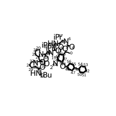 CC(OC(=O)N(C)[C@H](C(=O)N[C@H](C(=O)N(C)[C@H](C(=O)N1CCCC1C(=O)N1CCCC1C(=O)NC(C)(C)C)C(C)C)C(C)C)C(C)C)c1ccc([N+](=O)[O-])c(Oc2ccc(-c3ccccc3)cc2)c1